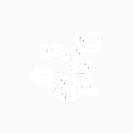 COCN(c1ccccn1)c1ncc(-c2nc(OC3CCCCC3)ncc2C)s1